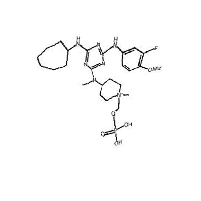 COc1ccc(Nc2nc(NC3CCCCCC3)nc(N(C)C3CC[N+](C)(COP(=O)(O)O)CC3)n2)cc1F